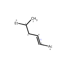 CCC(C)C/C=C/C(C)=O